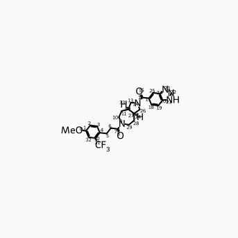 COc1ccc(CCC(=O)N2CC[C@@H]3CN(C(=O)c4ccc5[nH]nnc5c4)C[C@@H]3CC2)c(C(F)(F)F)c1